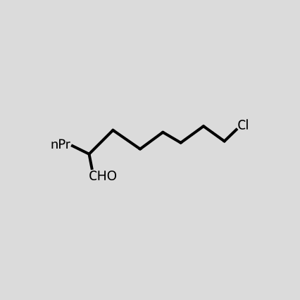 CCCC(C=O)CCCCCCCl